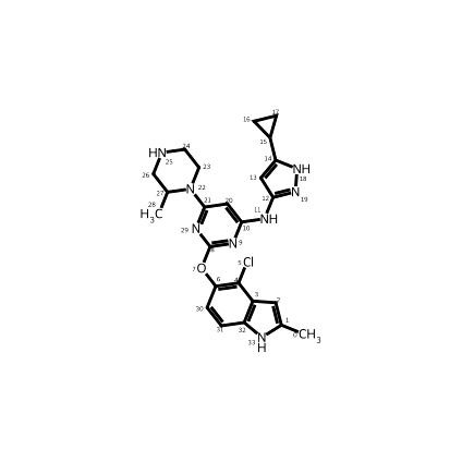 Cc1cc2c(Cl)c(Oc3nc(Nc4cc(C5CC5)[nH]n4)cc(N4CCNCC4C)n3)ccc2[nH]1